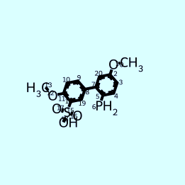 COc1ccc(P)c(-c2ccc(OC)c(S(=O)(=O)O)c2)c1